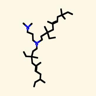 CCC(C)C/C=C(\C)CC(C)(CC)CCN(CCCN(C)C)CCC(C)(CC)C/C(C)=C/CC(C)(C)CC